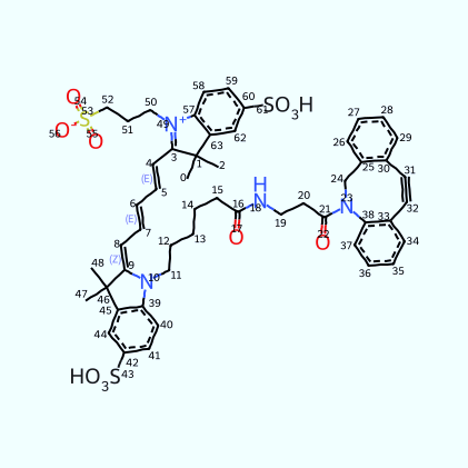 CC1(C)C(/C=C/C=C/C=C2\N(CCCCCC(=O)NCCC(=O)N3Cc4ccccc4C#Cc4ccccc43)c3ccc(S(=O)(=O)O)cc3C2(C)C)=[N+](CCCS(=O)(=O)[O-])c2ccc(S(=O)(=O)O)cc21